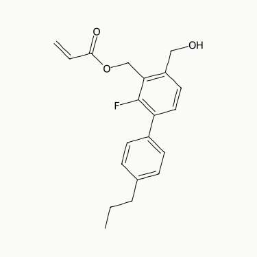 C=CC(=O)OCc1c(CO)ccc(-c2ccc(CCC)cc2)c1F